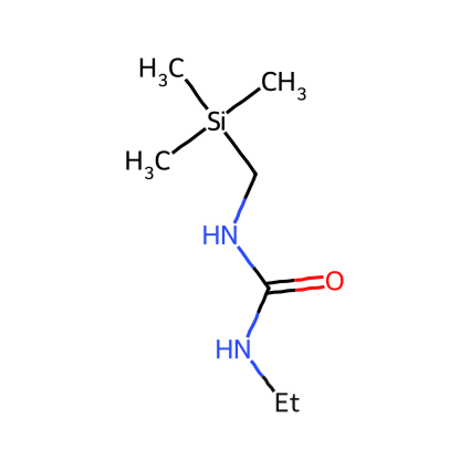 CCNC(=O)NC[Si](C)(C)C